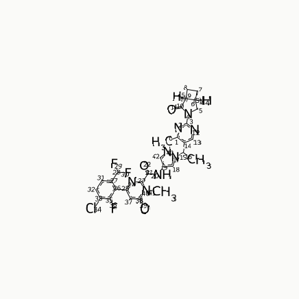 Cc1nc(N2C[C@H]3CC[C@H]3C2=O)ncc1C(C)n1cc(NC(=O)c2nc(-c3c(C(F)F)ccc(Cl)c3F)cc(=O)n2C)cn1